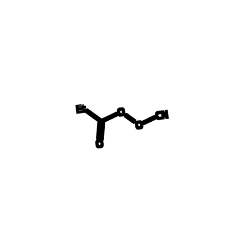 CCC(=O)OOC#N